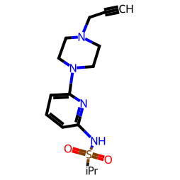 C#CCN1CCN(c2cccc(NS(=O)(=O)C(C)C)n2)CC1